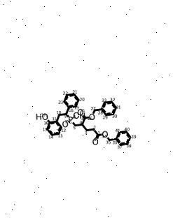 O=C(CCC(CP(=O)(O)C(Cc1ccccc1O)c1ccccc1)C(=O)OCc1ccccc1)OCc1ccccc1